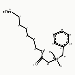 CCCCCCCCCCCCCCCCOC(=O)C[N+](C)(C)Cc1ccccc1